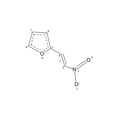 O=[N+]([O-])/[C]=C/c1ccco1